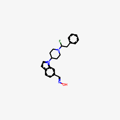 ON=Cc1ccc2ccn(C3CCN(C(F)Cc4ccccc4)CC3)c2c1